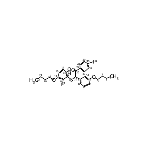 CCCCOc1cccc(C(Sc2c(O)ccc(OCCCC)c2F)C(=O)c2ccc(I)cc2)c1